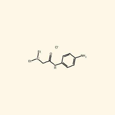 CC[S+](CC)CC(=O)Nc1ccc(N)cc1.[Cl-]